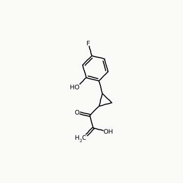 C=C(O)C(=O)C1CC1c1ccc(F)cc1O